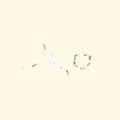 C=CCN(CC=C)C(C)(C)C(=O)c1ccc(F)cc1